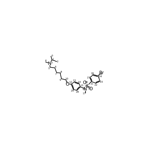 CC(C)N(C)CCCCCCOc1ccc(N(C)S(=O)(=O)c2ccc(Br)cc2)cc1